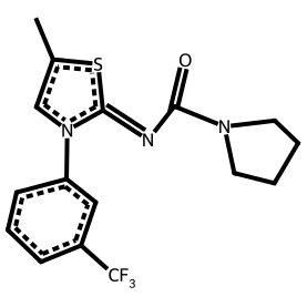 Cc1cn(-c2cccc(C(F)(F)F)c2)/c(=N/C(=O)N2CCCC2)s1